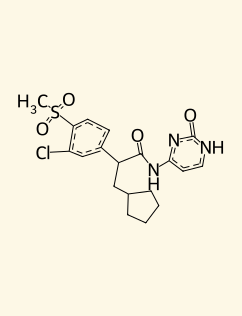 CS(=O)(=O)c1ccc(C(CC2CCCC2)C(=O)Nc2cc[nH]c(=O)n2)cc1Cl